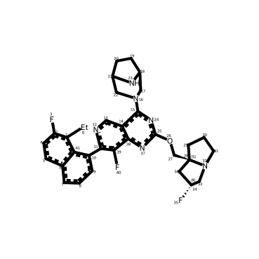 CCc1c(F)ccc2cccc(-c3ncc4c(N5CC6CCC(C5)N6)nc(OC[C@@]56CCCN5C[C@H](F)C6)nc4c3F)c12